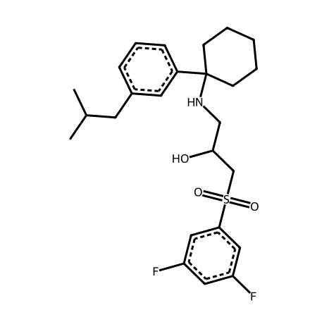 CC(C)Cc1cccc(C2(NCC(O)CS(=O)(=O)c3cc(F)cc(F)c3)CCCCC2)c1